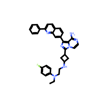 CCN(CCNC1CC(c2nc(-c3ccc4ccc(-c5ccccc5)nc4c3)c3c(N)nccn23)C1)c1ccc(F)cc1